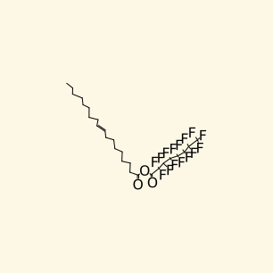 CCCCCCCCC=CCCCCCCCC(=O)OC(=O)C(F)(F)C(F)(F)C(F)(F)C(F)(F)C(F)(F)C(F)(F)C(F)(F)F